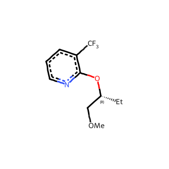 CC[C@H](COC)Oc1ncccc1C(F)(F)F